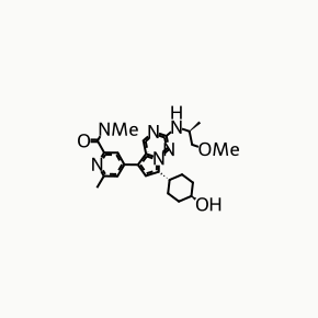 CNC(=O)c1cc(-c2cc([C@H]3CC[C@H](O)CC3)n3nc(N[C@@H](C)COC)ncc23)cc(C)n1